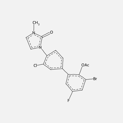 CC(=O)Oc1c(Br)cc(F)cc1-c1ccc(-n2ccn(C)c2=O)c(Cl)c1